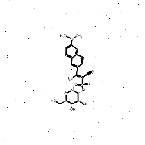 C/C(=C(/C#N)S(=O)(=O)N[C@H]1NO[C@H](CO)[C@@H](O)[C@@H]1O)c1ccc2cc(N(C)C)ccc2c1